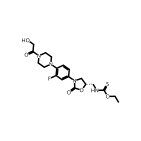 CCOC(=S)NC[C@H]1CN(c2ccc(N3CCN(C(=O)CO)CC3)c(F)c2)C(=O)O1